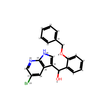 OC(c1ccccc1OCc1ccccc1)c1c[nH]c2ncc(Br)cc12